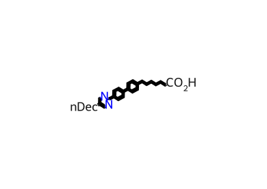 CCCCCCCCCCc1cnc(-c2ccc(-c3ccc(CCCCCCC(=O)O)cc3)cc2)nc1